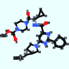 CCCCOC(=O)N1CCN(C(=O)[C@@H](NC(=O)c2cc(N3CC4C(C3)C4C(=O)OCC)nc(-c3ccccc3)n2)C2CC2)CC1